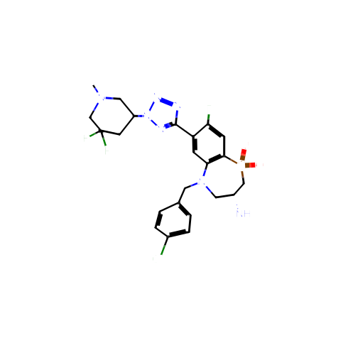 CN1CC(n2nnc(-c3cc4c(cc3F)S(=O)(=O)C[C@H](N)CN4Cc3ccc(Cl)cc3)n2)CC(F)(F)C1